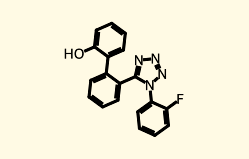 Oc1ccccc1-c1ccccc1-c1nnnn1-c1ccccc1F